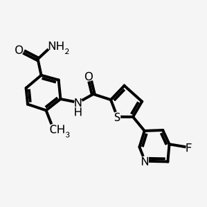 Cc1ccc(C(N)=O)cc1NC(=O)c1ccc(-c2cncc(F)c2)s1